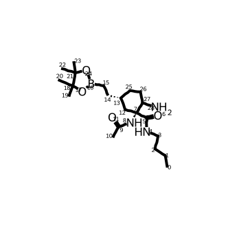 CCCCNC(=O)[C@@]1(NC(C)=O)C[C@H](CCB2OC(C)(C)C(C)(C)O2)CCC1N